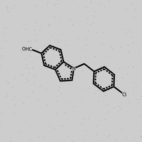 O=Cc1ccc2c(ccn2Cc2ccc(Cl)cc2)c1